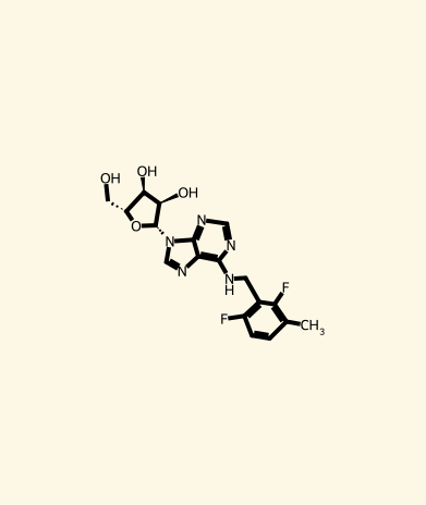 Cc1ccc(F)c(CNc2ncnc3c2ncn3[C@@H]2O[C@H](CO)[C@@H](O)[C@H]2O)c1F